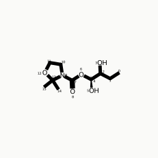 CCC(O)[C@@H](O)OC(=O)N1CCOC1(C)C